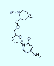 CC(C)[C@@H]1CC[C@@H](C)CC1OOCC1O[C@@H](n2ccc(N)nc2=O)CS1